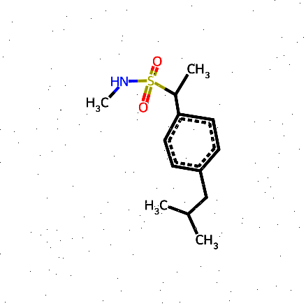 CNS(=O)(=O)C(C)c1ccc(CC(C)C)cc1